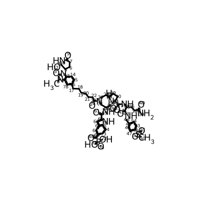 Cn1c(=O)n(C2CCC(=O)NC2O)c2ccc(CCCCCCC(=O)N3CC[C@H]4CC[C@@H](C(=O)N[C@@H](CCC(N)=O)C(=O)NCc5ccc(S(C)(=O)=O)cc5)N4C(=O)[C@@H](NC(=O)c4cc5cc(C(=O)P(=O)(O)O)ccc5[nH]4)C3)cc21